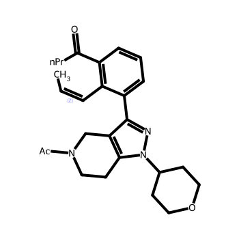 C/C=C\c1c(C(=O)CCC)cccc1-c1nn(C2CCOCC2)c2c1CN(C(C)=O)CC2